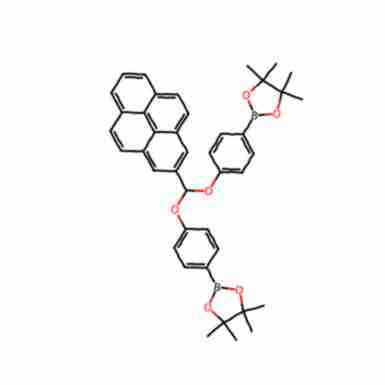 CC1(C)OB(c2ccc(OC(Oc3ccc(B4OC(C)(C)C(C)(C)O4)cc3)c3cc4ccc5cccc6ccc(c3)c4c56)cc2)OC1(C)C